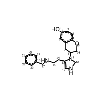 Oc1ccc2c(c1)CC(N1CNC=C1CCNCc1ccccc1)CO2